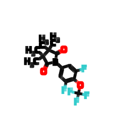 CC1(C)C(=O)B(c2cc(F)c(OC(F)(F)F)c(F)c2)C(=O)C1(C)C